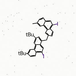 Cc1ccc2cc(I)c3ccc(Cc4cc(C(C)(C)C)cc5c4cc(I)c4ccc(C(C)(C)C)cc45)cc3c2c1